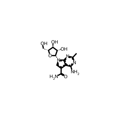 Cc1nc(N)c2c(C(N)=O)cn([C@@H]3O[C@H](CO)[C@@H](O)[C@@H]3O)c2n1